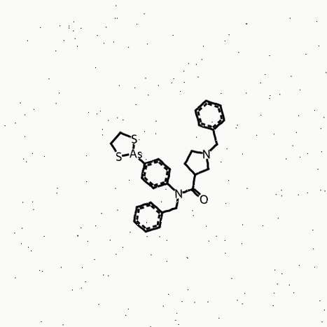 O=C(C1CCN(Cc2ccccc2)C1)N(Cc1ccccc1)c1ccc([As]2SCCS2)cc1